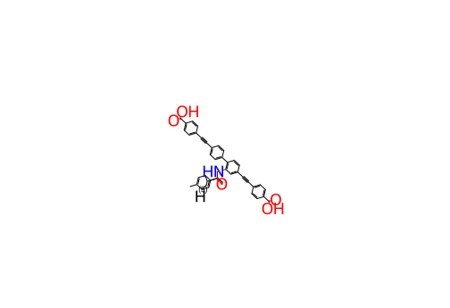 CC1=CC2C(C(=O)Nc3cc(C#Cc4ccc(C(=O)O)cc4)ccc3-c3ccc(C#Cc4ccc(C(=O)O)cc4)cc3)=C[C@@H]1CC2C(C)C